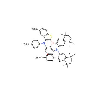 CSc1ccc(-c2cc3c(cc2N2c4cc5c(cc4B4c6sc7ccc(C(C)(C)C)cc7c6N(c6ccc(C(C)(C)C)cc6)c6cc(C)cc2c64)C(C)(C)CCC5(C)C)C(C)(C)CCC3(C)C)cc1